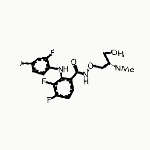 CN[C@@H](CO)CONC(=O)c1ccc(F)c(F)c1Nc1ccc(I)cc1F